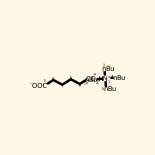 CCCC[N+](CCCC)(CCCC)CCCC.O=C([O-])CCCCC(=O)O